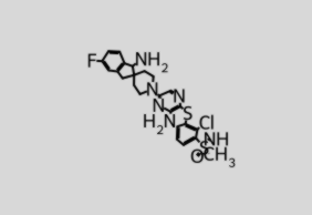 CS(=N)(=O)c1cccc(Sc2ncc(N3CCC4(CC3)Cc3cc(F)ccc3C4N)nc2N)c1Cl